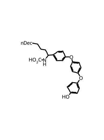 CCCCCCCCCCCCCC(NC(=O)O)c1ccc(Oc2ccc(Oc3ccc(O)cc3)cc2)cc1